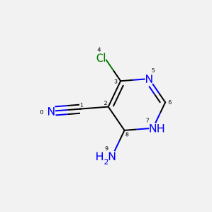 N#CC1=C(Cl)N=CNC1N